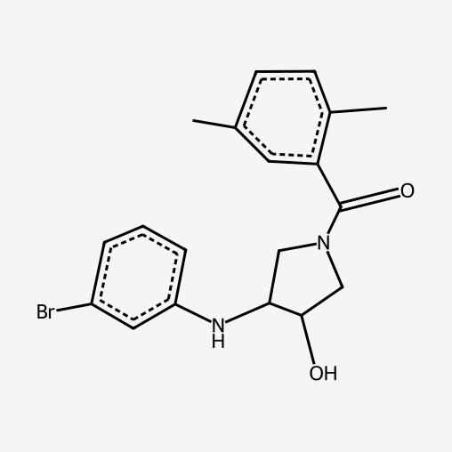 Cc1ccc(C)c(C(=O)N2CC(O)C(Nc3cccc(Br)c3)C2)c1